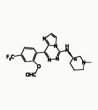 CN1CCC[C@@H](Nc2nnc(-c3ccc(C(F)(F)F)cc3OC=O)c3nccn23)C1